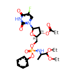 CCOC(OCC)C(C)NP(=O)(OC[C@H]1OC(n2cc(F)c(=O)[nH]c2=O)C[C@@H]1OC(=O)CC)Oc1ccccc1